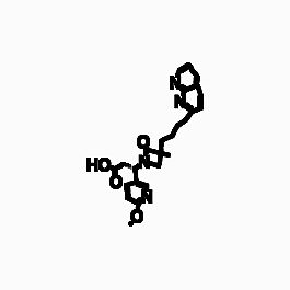 COc1ccc([C@H](CC(=O)O)N2CC(C)(CCCCc3ccc4cccnc4n3)C2=O)cn1